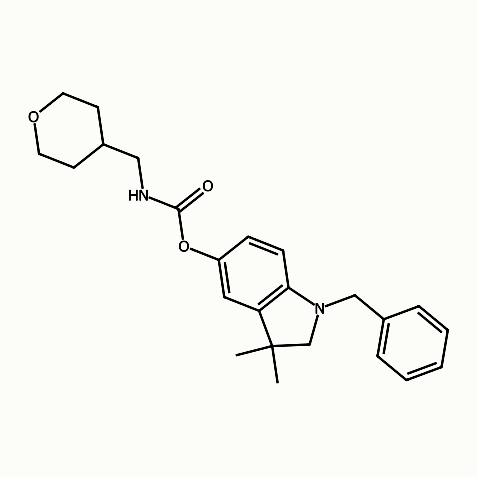 CC1(C)CN(Cc2ccccc2)c2ccc(OC(=O)NCC3CCOCC3)cc21